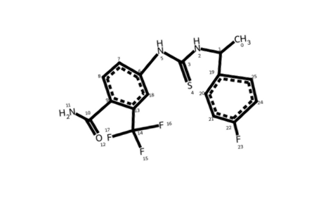 CC(NC(=S)Nc1ccc(C(N)=O)c(C(F)(F)F)c1)c1ccc(F)cc1